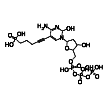 NC1=NC(O)N(C2CC(O)C(COP(=O)(O)OP(=O)(O)OP(=O)(O)O)O2)C=C1C#CCCCP(=O)(O)O